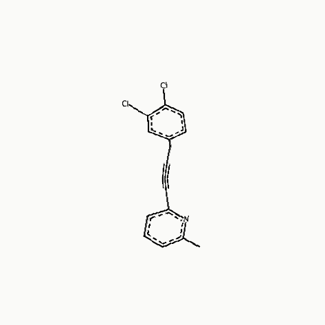 Cc1cccc(C#Cc2ccc(Cl)c(Cl)c2)n1